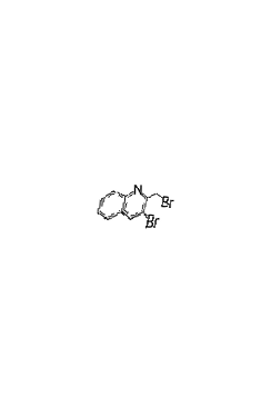 BrCc1nc2ccccc2cc1Br